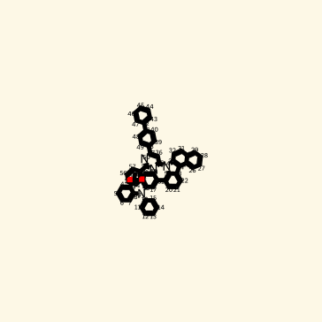 CC1(C)c2ccccc2N(c2ccccc2)c2cc(-c3cccc4c5c6ccccc6ccc5n(-c5cc(-c6ccc(-c7ccccc7)cc6)nc(-c6ccccc6)n5)c34)ccc21